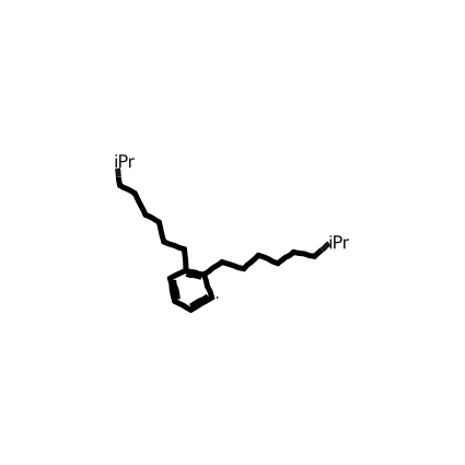 CC(C)CCCCCCc1[c]cccc1CCCCCCC(C)C